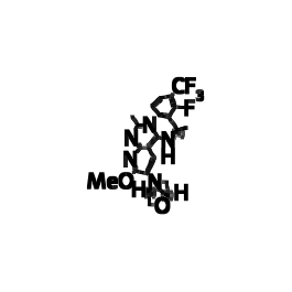 COc1nc2nc(C)nc(N[C@H](C)c3cccc(C(F)(F)F)c3F)c2cc1N1C[C@@H]2C[C@H]1CO2